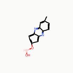 Cc1ccc2nc3cc(OBO)ccc3nc2c1